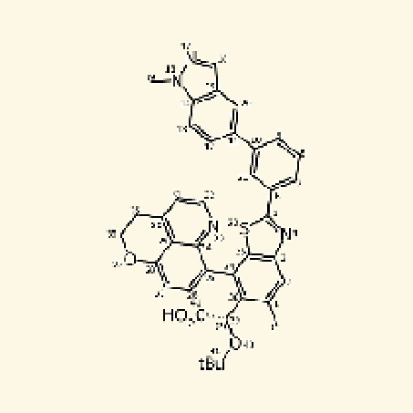 Cc1cc2nc(-c3cccc(-c4ccc5c(cnn5C)c4)c3)sc2c(-c2ccc3c4c(ccnc24)CCO3)c1[C@H](OC(C)(C)C)C(=O)O